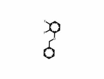 Fc1[c]ccc(OCc2ccccc2)c1F